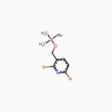 CC(C)(C)[Si](C)(C)OCc1ccc(Br)nc1Br